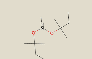 CCC(C)(C)O[SiH](C)OC(C)(C)CC